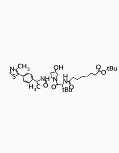 Cc1ncsc1-c1ccc([C@H](C)NC(=O)[C@@H]2C[C@@H](O)CN2C(=O)C(NC(=O)CCCCCCC(=O)OC(C)(C)C)C(C)(C)C)cc1